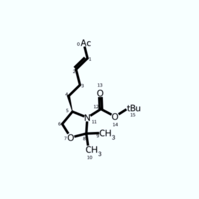 CC(=O)/C=C/CC[C@@H]1COC(C)(C)N1C(=O)OC(C)(C)C